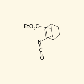 CCOC(=O)C1C2C=CC(CC2)C1N=C=O